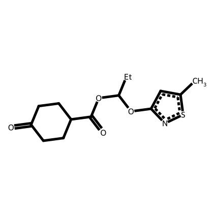 CCC(OC(=O)C1CCC(=O)CC1)Oc1cc(C)sn1